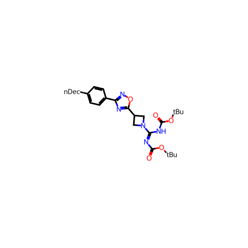 CCCCCCCCCCc1ccc(-c2noc(C3CN(C(=NC(=O)OC(C)(C)C)NC(=O)OC(C)(C)C)C3)n2)cc1